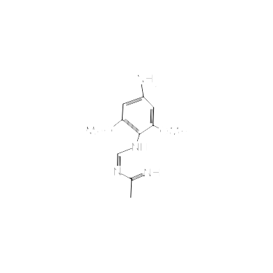 COc1cc(N)cc(OC)c1N/C=N\C(C)=N